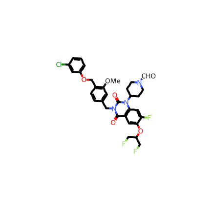 COc1cc(Cn2c(=O)c3cc(OC(CF)CF)c(F)cc3n(C3CCN(C=O)CC3)c2=O)ccc1COc1cccc(Cl)c1